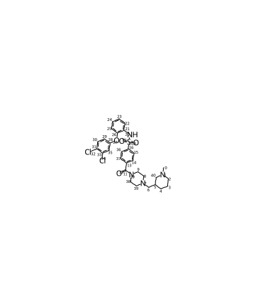 CN1CCCC(CN2CCN(C(=O)c3ccc(S(=O)(=O)Nc4ccccc4Oc4ccc(Cl)c(Cl)c4)cc3)CC2)C1